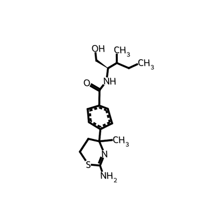 CCC(C)[C@H](CO)NC(=O)c1ccc(C2(C)CCSC(N)=N2)cc1